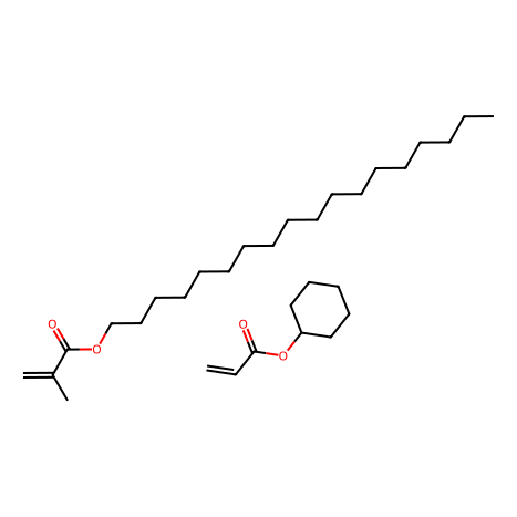 C=C(C)C(=O)OCCCCCCCCCCCCCCCCCC.C=CC(=O)OC1CCCCC1